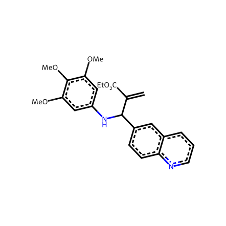 C=C(C(=O)OCC)C(Nc1cc(OC)c(OC)c(OC)c1)c1ccc2ncccc2c1